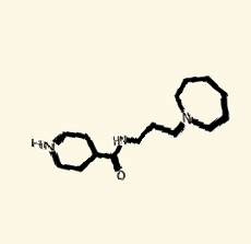 O=C(NCCCN1CCCCCC1)C1CCNCC1